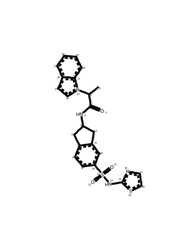 CC(C(=O)NC1Cc2ccc(S(=O)(=O)Nc3nccs3)cc2C1)n1ccc2ccccc21